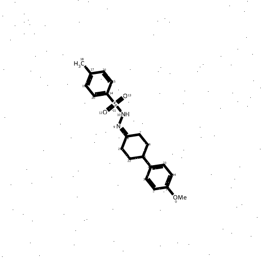 COc1ccc(C2CCC(=NNS(=O)(=O)c3ccc(C)cc3)CC2)cc1